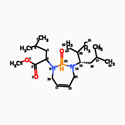 COC(=O)C(CC(C)C)N1CC=CCN([C@@H](CC(C)C)C(C)C)[PH]1=O